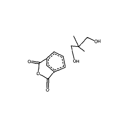 CC(C)(CO)CO.O=C1OC(=O)c2cccc1c2